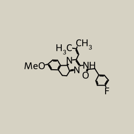 COc1ccc2c(c1)CCc1nc(NC(=O)Cc3ccc(F)cc3)c(C=C(C)C)nc1-2